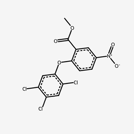 COC(=O)c1cc([N+](=O)[O-])ccc1Oc1cc(Cl)c(Cl)cc1Cl